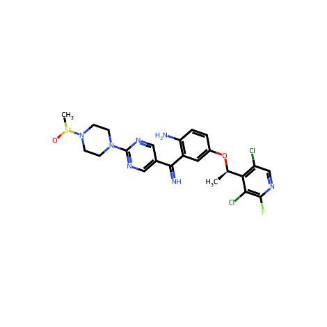 C[C@@H](Oc1ccc(N)c(C(=N)c2cnc(N3CCN([S+](C)[O-])CC3)nc2)c1)c1c(Cl)cnc(F)c1Cl